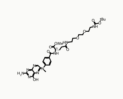 COC(=O)[C@H](CCC(=O)NCCOCCOCCNC(=O)OC(C)(C)C)NC(=O)c1ccc(N(C)c2cnc3nc(N)nc(O)c3n2)cc1